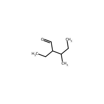 CCC(C)C(C=O)CC